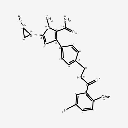 COc1ccc(F)cc1C(=O)NCc1ccc(-c2nc([C@@H]3C[C@@H]3F)n(N)c2C(N)=O)cc1